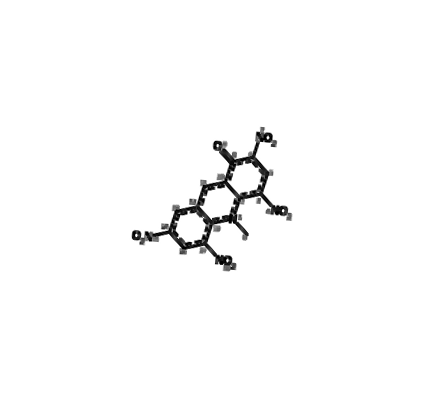 Cn1c2c([N+](=O)[O-])cc([N+](=O)[O-])c(=O)c-2cc2cc([N+](=O)[O-])cc([N+](=O)[O-])c21